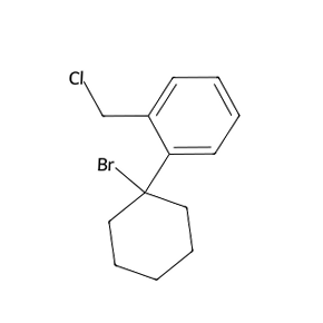 ClCc1ccccc1C1(Br)CCCCC1